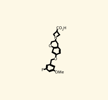 COc1cc(F)cc(COc2ccc3c(c2)OCC(N2CC(C(=O)O)C2)C3)c1